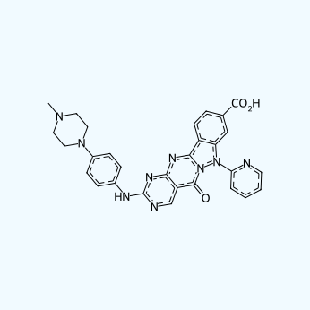 CN1CCN(c2ccc(Nc3ncc4c(=O)n5c(nc4n3)c3ccc(C(=O)O)cc3n5-c3ccccn3)cc2)CC1